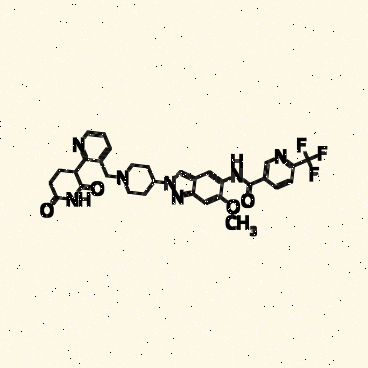 COc1cc2nn(C3CCN(Cc4cccnc4C4CCC(=O)NC4=O)CC3)cc2cc1NC(=O)c1ccc(C(F)(F)F)nc1